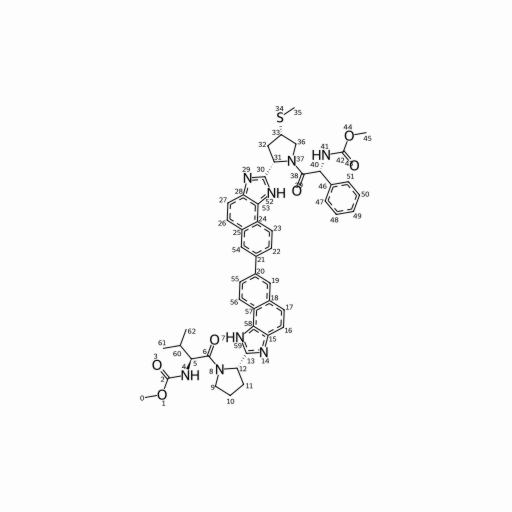 COC(=O)N[C@H](C(=O)N1CCC[C@H]1c1nc2ccc3cc(-c4ccc5c(ccc6nc([C@@H]7C[C@H](SC)CN7C(=O)[C@H](NC(=O)OC)c7ccccc7)[nH]c65)c4)ccc3c2[nH]1)C(C)C